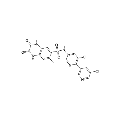 Cc1cc2[nH]c(=O)c(=O)[nH]c2cc1S(=O)(=O)Nc1cnc(-c2cncc(Cl)c2)c(Cl)c1